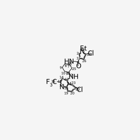 CCn1cc(C(=O)N[C@@H]2CCC[C@H](Nc3cc(C(F)(F)F)nc4ccc(Cl)cc34)C2)cc1Cl